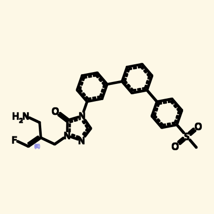 CS(=O)(=O)c1ccc(-c2cccc(-c3cccc(-n4cnn(C/C(=C/F)CN)c4=O)c3)c2)cc1